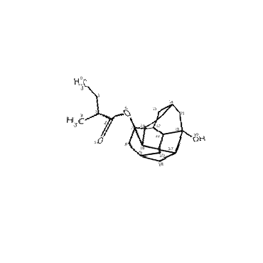 CCC(C)C(=O)OC12CC3CC4C1CC1CC2C(C3)C4(O)C1